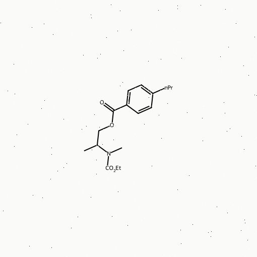 CCCc1ccc(C(=O)OCC(C)N(C)C(=O)OCC)cc1